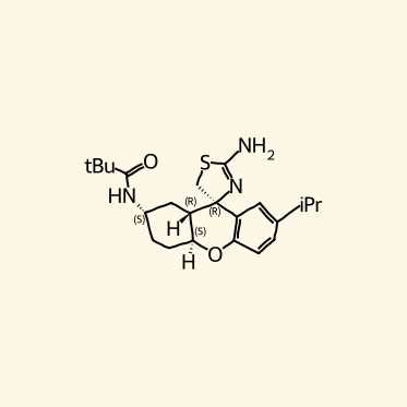 CC(C)c1ccc2c(c1)[C@@]1(CSC(N)=N1)[C@H]1C[C@@H](NC(=O)C(C)(C)C)CC[C@@H]1O2